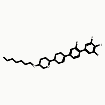 CCCCCCCOC1CCC(C2CC=C(c3ccc(-c4cc(F)c(Cl)c(F)c4)c(F)c3)CC2)OC1